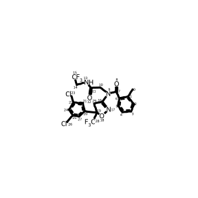 Cc1ccccc1C(=O)N(CC(=O)NCC(F)(F)F)C1=NOC(c2cc(Cl)cc(Cl)c2)(C(F)(F)F)C1